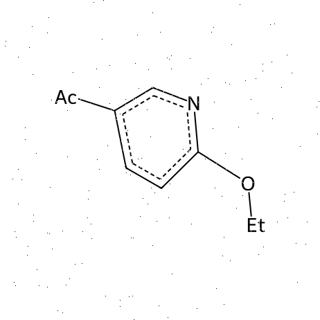 CCOc1ccc(C(C)=O)cn1